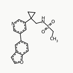 CCS(=O)(=O)NCC1(c2cncc(-c3ccc4occc4c3)c2)CC1